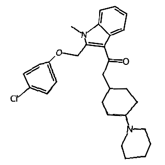 Cn1c(COc2ccc(Cl)cc2)c(C(=O)CC2CCC(N3CCCCC3)CC2)c2ccccc21